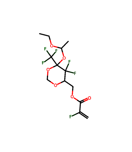 C=C(F)C(=O)OCC1OCOC(OC(C)OCC)(C(F)(F)F)C1(F)F